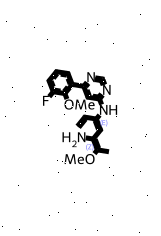 C=C/C(=C\C(N)=C(/C)OC)Nc1cc(-c2cccc(F)c2OC)ncn1